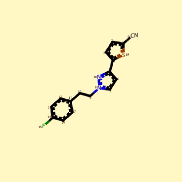 N#Cc1ccc(-c2ccn(CCc3ccc(F)cc3)n2)s1